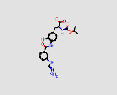 CC(C)OC(=O)NC(Cc1ccc(NC(=O)c2cccc(NC=NN)c2)c(Cl)c1)C(=O)O